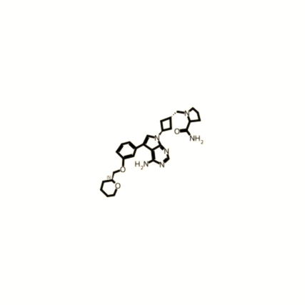 NC(=O)C1CCCN1C[C@H]1C[C@H](n2cc(-c3cccc(OC[C@@H]4CCCCO4)c3)c3c(N)ncnc32)C1